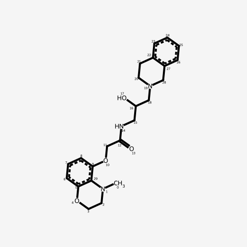 CN1CCOc2cccc(OCC(=O)NCC(O)CN3CCc4ccccc4C3)c21